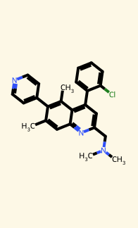 Cc1cc2nc(CN(C)C)cc(-c3ccccc3Cl)c2c(C)c1-c1ccncc1